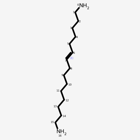 NCCCCC/C=C/CCCCCCCCN